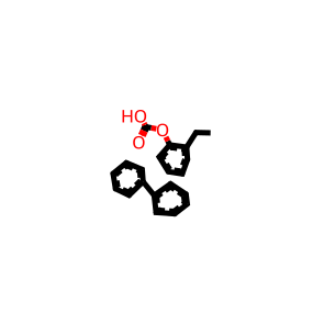 CCc1ccccc1OC(=O)O.c1ccc(-c2ccccc2)cc1